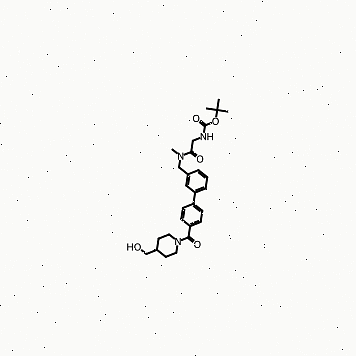 CN(Cc1cccc(-c2ccc(C(=O)N3CCC(CO)CC3)cc2)c1)C(=O)CNC(=O)OC(C)(C)C